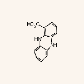 O=C(O)c1cccc2c1Nc1ccccc1N2